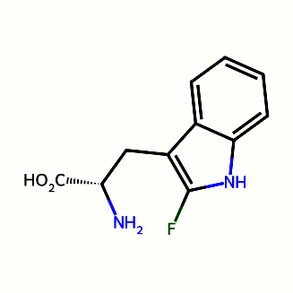 N[C@@H](Cc1c(F)[nH]c2ccccc12)C(=O)O